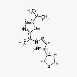 CC(C)c1nnc(C(C)n2ccc(C3CCCC3)n2)o1